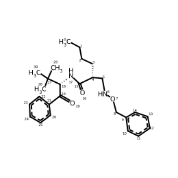 CCCC[C@H](CNOCc1ccccc1)C(=O)N[C@H](C(=O)c1ccccc1)C(C)(C)C